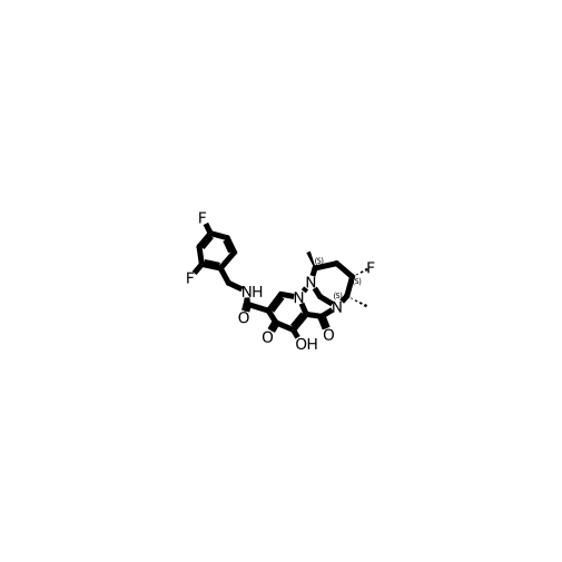 C[C@H]1[C@@H](F)C[C@H](C)N2CN1C(=O)c1c(O)c(=O)c(C(=O)NCc3ccc(F)cc3F)cn12